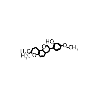 CCOc1ccc(C2COC3C4=C(C=CC3C2)OC(C)(C)CC4)c(O)c1